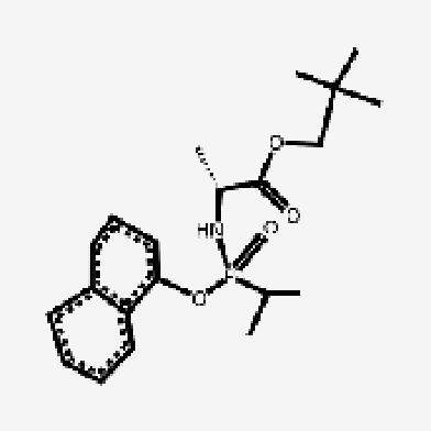 CC(C)P(=O)(N[C@H](C)C(=O)OCC(C)(C)C)Oc1cccc2ccccc12